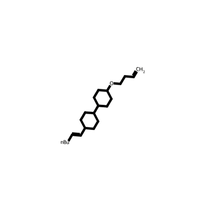 C=CCCOC1CCC(C2CCC(/C=C/CCCC)CC2)CC1